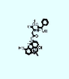 CN1CC[C@]23c4c5ccc(O)c4O[C@H]2C(OC(=O)C[C@H](NC(=O)[C@@H](O)c2ccccc2)C(=O)O)=CC[C@@]3(O)C1C5